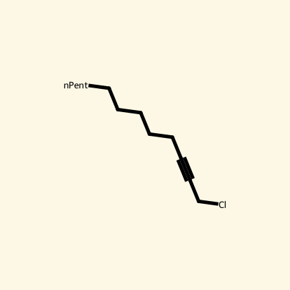 CCCCCCCCCCC#CCCl